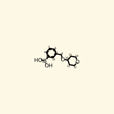 OB(O)c1cccc(COC2CCOCC2)c1